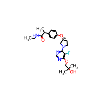 CCNC(=O)C(C)c1ccc(O[C@@H]2CCN(c3ncnc(OCC(C)(C)O)c3F)C2)cc1